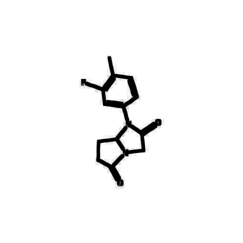 Cc1ccc(N2C(=O)CN3C(=O)CCC32)cc1F